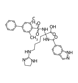 Cc1cc(-c2ccccc2)cc(C)c1S(=O)(=O)NC(CCCCNC1=NCCN1)(NC(=O)c1ccc2cn[nH]c2c1)C(=O)O